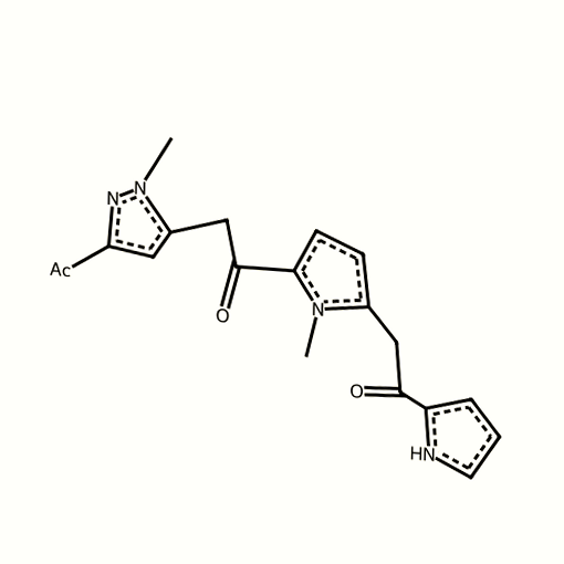 CC(=O)c1cc(CC(=O)c2ccc(CC(=O)c3ccc[nH]3)n2C)n(C)n1